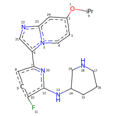 CC(C)Oc1ccn2c(-c3ccc(F)c(NC4CCCNC4)n3)cnc2c1